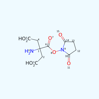 NC(CC(=O)O)(CC(=O)O)C(=O)ON1C(=O)CCC1=O